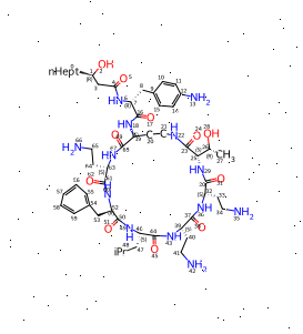 CCCCCCC[C@@H](O)CC(=O)N[C@H](Cc1ccc(N)cc1)C(=O)N[C@H]1CCNC(=O)[C@H]([C@@H](C)O)NC(=O)[C@H](CCN)NC(=O)[C@H](CCN)NC(=O)[C@H](CC(C)C)NC(=O)[C@@H](Cc2ccccc2)NC(=O)[C@H](CCN)NC1=O